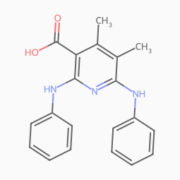 Cc1c(Nc2ccccc2)nc(Nc2ccccc2)c(C(=O)O)c1C